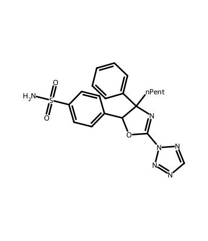 CCCCCC1(c2ccccc2)N=C(n2ncnn2)OC1c1ccc(S(N)(=O)=O)cc1